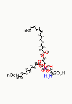 CCCC/C=C\C/C=C\CCCCCCCC(=O)OC[C@H](COP(=O)(O)OC[C@H](N)C(=O)O)OC(=O)CCCCCCC/C=C\CCCCCCCC